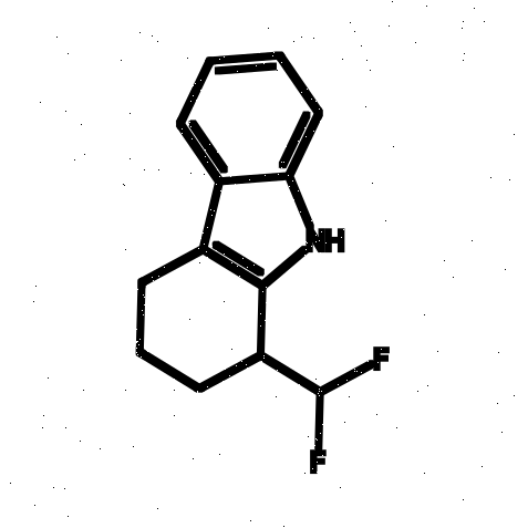 FC(F)C1CCCc2c1[nH]c1ccccc21